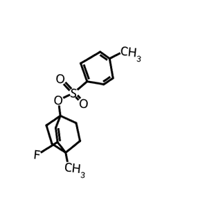 Cc1ccc(S(=O)(=O)OC23C=C(F)C(C)(CC2)CC3)cc1